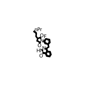 CCCC=CCC1CC(=O)N(c2cc(Cc3n[nH]c(=O)c4ccccc34)ccc2F)C1=O